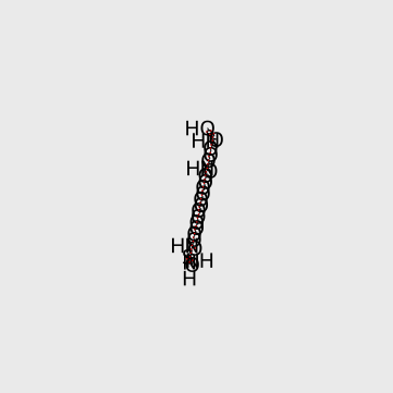 O=C(CCCCC1SCC2NC(=O)NC21)NCCOCCOCCOCCOCCOCCOCCOCCOCCOCCOCCOCCOCCC(=O)NCCCOCCOCCOCCCNC(=O)c1ccc2cc(O)ccc2c1